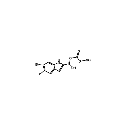 CCc1cc2[nH]c(B(O)OC(=O)OC(C)(C)C)cc2cc1F